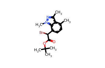 Cc1ccc(C(Br)C(=O)OC(C)(C)C)c2c1c(C)nn2C